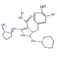 CCNC(=O)C1=C(N[C@H]2CCC[C@H]2N)NC(NC2CCCCC2)N1Cc1ccc(N=O)c(Br)c1